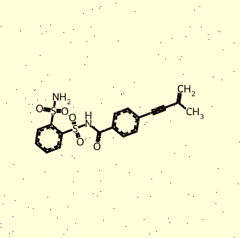 C=C(C)C#Cc1ccc(C(=O)NS(=O)(=O)c2ccccc2S(N)(=O)=O)cc1